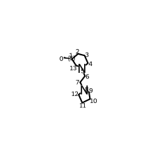 C[C@H]1CCCN(CCN2CCCC2)C1